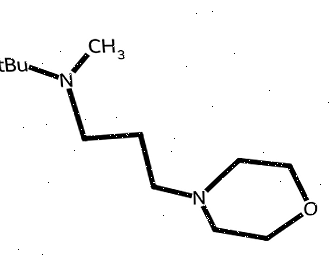 CN(CCCN1CCOCC1)C(C)(C)C